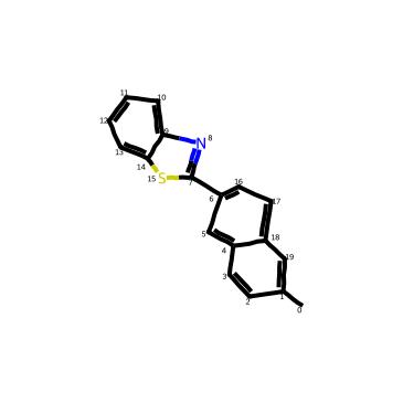 Cc1ccc2cc(-c3nc4ccccc4s3)ccc2c1